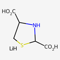 O=C(O)C1CSC(C(=O)O)N1.[LiH]